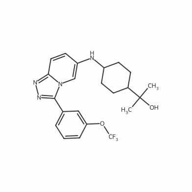 CC(C)(O)C1CCC(Nc2ccc3nnc(-c4cccc(OC(F)(F)F)c4)n3c2)CC1